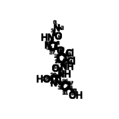 CN(C)CC(=O)Nc1cc(Oc2ccc(NC(=O)Nc3cc(O)nn3-c3ccc(CO)cc3)c(Cl)c2Cl)ccn1